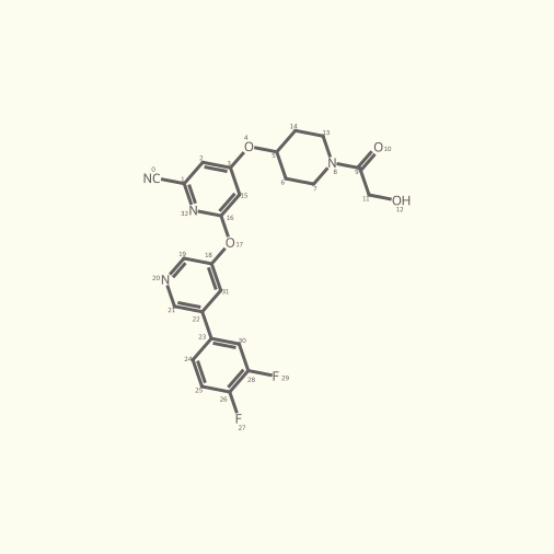 N#Cc1cc(OC2CCN(C(=O)CO)CC2)cc(Oc2cncc(-c3ccc(F)c(F)c3)c2)n1